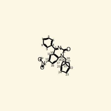 O=c1nc(-c2ccccc2)c2cc([N+](=O)[O-])ccc2n1CC1C2=CC=C1CC2